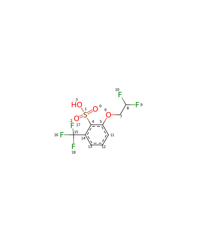 O=S(=O)(O)c1c(OCC(F)F)cccc1C(F)(F)F